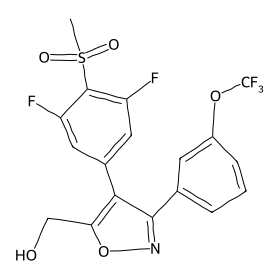 CS(=O)(=O)c1c(F)cc(-c2c(-c3cccc(OC(F)(F)F)c3)noc2CO)cc1F